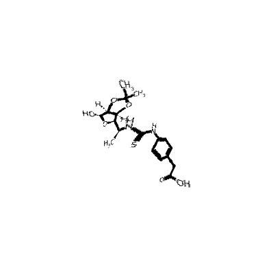 C[C@H](NC(=S)Nc1ccc(CC(=O)O)cc1)[C@H]1O[C@H](O)[C@H]2OC(C)(C)O[C@@H]12